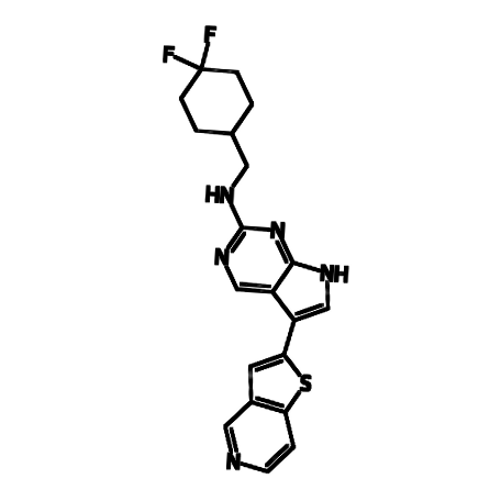 FC1(F)CCC(CNc2ncc3c(-c4cc5cnccc5s4)c[nH]c3n2)CC1